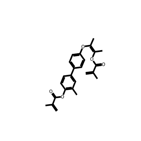 C=C(C)C(=O)OC(C)=C(C)Oc1ccc(-c2ccc(OC(=O)C(=C)C)c(C)c2)cc1